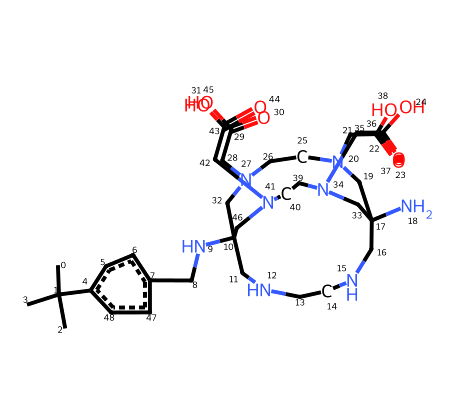 CC(C)(C)c1ccc(CNC23CNCCNCC(N)(CN(CC(=O)O)CCN(CC(=O)O)C2)CN(CC(=O)O)CCN(CC(=O)O)C3)cc1